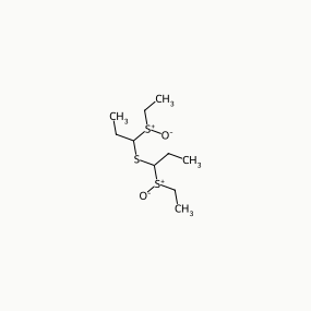 CCC(SC(CC)[S+]([O-])CC)[S+]([O-])CC